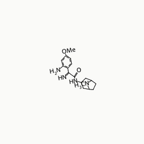 COc1ccc(C(=N)C(=O)NC2CC3CCC(C2)N3C)c(N)c1